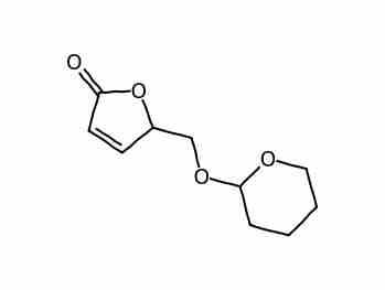 O=C1C=CC(COC2CCCCO2)O1